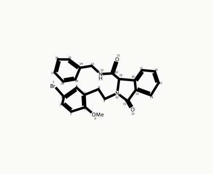 COc1ccc(Br)cc1CCN1C(=O)c2ccccc2C1C(=O)NCc1ccccc1